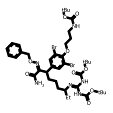 CCC(CCCC(C(=NOCc1ccccc1)C(N)=O)c1cc(Br)c(OCCCNC(=O)OC(C)(C)C)c(Br)c1)N=C(NC(=O)OC(C)(C)C)NC(=O)OC(C)(C)C